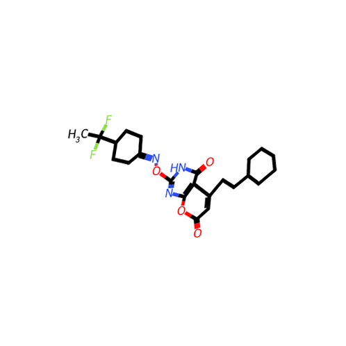 CC(F)(F)C1CCC(=NOc2nc3oc(=O)cc(CCC4CCCCC4)c3c(=O)[nH]2)CC1